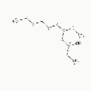 CCCCCCC(CC)CC(O)CN